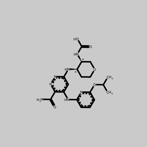 CC(C)Oc1cccc(Nc2cc(N[C@@H]3CCOC[C@@H]3NC(=O)O)nnc2C(N)=O)n1